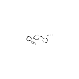 Cc1ccccc1N1CCC(CN2CCCC[C@H]2CO)CC1